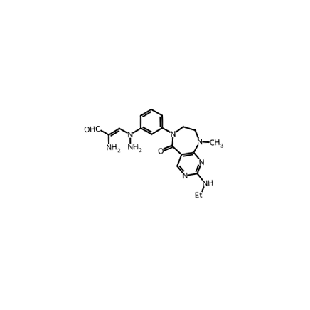 CCNc1ncc2c(n1)N(C)CCN(c1cccc(N(N)/C=C(\N)C=O)c1)C2=O